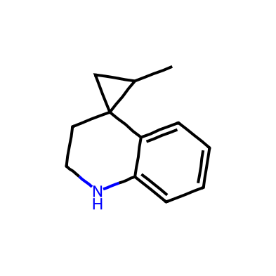 CC1CC12CCNc1ccccc12